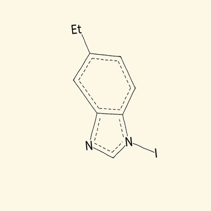 CCc1ccc2c(c1)ncn2I